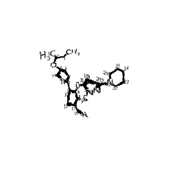 CCC(C)Oc1ccc(-c2ccc(C#N)cc2Oc2cc(N3CCCCC3)nn2C)nc1